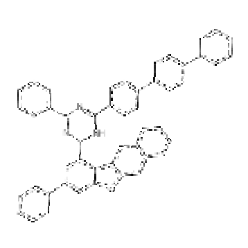 c1ccc(C2=NC(c3cc(-c4ccccc4)cc4oc5cc6ccccc6cc5c34)NC(c3ccc(-c4ccc(-c5ccccc5)cc4)cc3)=N2)cc1